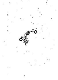 O=C(Nc1nc(C(F)F)sc1-c1ccccc1)OC12CC[N+](CCOc3ccccc3)(CC1)CC2